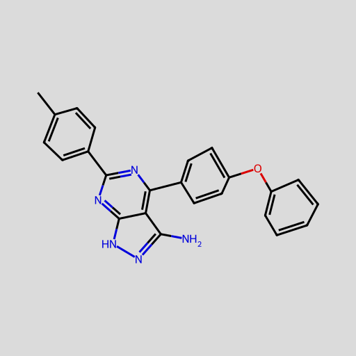 Cc1ccc(-c2nc(-c3ccc(Oc4ccccc4)cc3)c3c(N)n[nH]c3n2)cc1